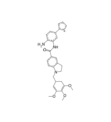 COC1=CC(CN2CCc3cc(C(=O)Nc4cc(-c5cccs5)ccc4N)ccc32)CC(OC)=C1OC